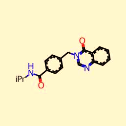 CC(C)NC(=O)c1ccc(Cn2cnc3ccccc3c2=O)cc1